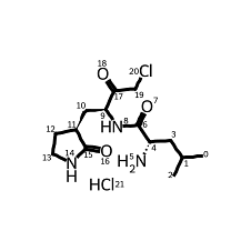 CC(C)C[C@H](N)C(=O)N[C@@H](C[C@@H]1CCNC1=O)C(=O)CCl.Cl